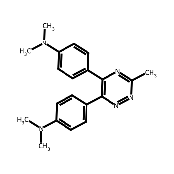 Cc1nnc(-c2ccc(N(C)C)cc2)c(-c2ccc(N(C)C)cc2)n1